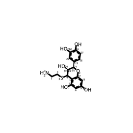 NCCSC1c2c(O)cc(O)cc2O[C@H](c2ccc(O)c(O)c2)[C@@H]1O